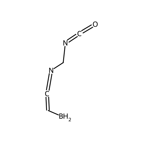 BC=C=NCN=C=O